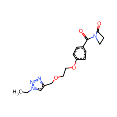 CCn1cc(COCCOc2ccc(C(=O)N3CCC3=O)cc2)nn1